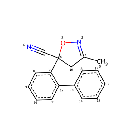 CC1=NOC(C#N)(c2ccccc2-c2ccccc2)C1